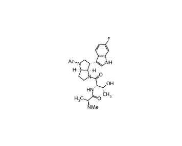 CN[C@@H](C)C(=O)N[C@H](C(=O)N1CC[C@@H]2[C@H]1[C@@H](c1c[nH]c3cc(F)ccc13)CN2C(C)=O)[C@@H](C)O